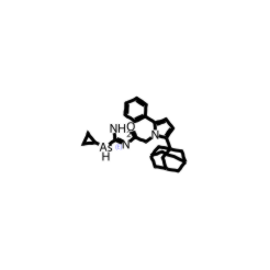 N/C(=N\C(=O)Cn1c(-c2ccccc2)ccc1C12CC3CC(CC(C3)C1)C2)[AsH]C1CC1